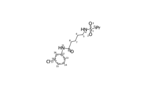 CC(C)S(=O)(=O)NCCCCC(=O)Nc1cccc(Cl)c1